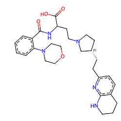 O=C(NC(CCN1CC[C@H](CCc2ccc3c(n2)NCCC3)C1)C(=O)O)c1ccccc1N1CCOCC1